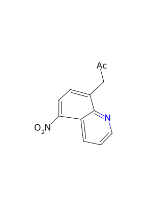 CC(=O)Cc1ccc([N+](=O)[O-])c2cccnc12